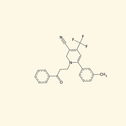 Cc1cccc(C2=CC(C(F)(F)F)=C(C#N)CN2CCC(=O)c2ccccc2)c1